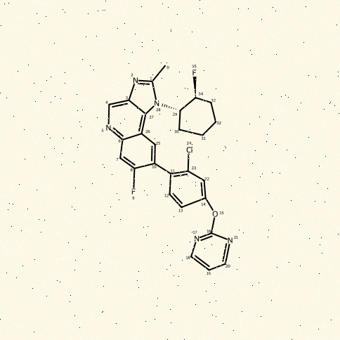 Cc1nc2cnc3cc(F)c(-c4ccc(Oc5ncccn5)cc4Cl)cc3c2n1[C@H]1CCCC[C@@H]1F